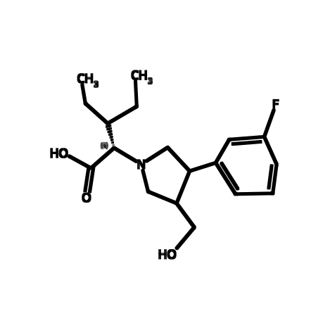 CCC(CC)[C@@H](C(=O)O)N1CC(CO)C(c2cccc(F)c2)C1